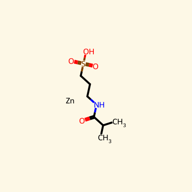 CC(C)C(=O)NCCCS(=O)(=O)O.[Zn]